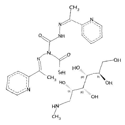 CC(=NNC(=O)N(N=C(C)c1ccccn1)C(=O)[SeH])c1ccccn1.CNC[C@H](O)[C@@H](O)[C@H](O)[C@H](O)CO